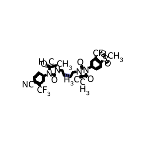 CC1(C)C(=O)N(c2ccc(C#N)c(C(F)(F)F)c2)C(=O)N1C/C=C\CN1C(=O)N(c2ccc(S(C)(=O)=O)c(C(F)(F)F)c2)C(=O)C1(C)C